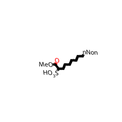 CCCCCCCCCCCCCCCCC(C(=O)OC)S(=O)(=O)O